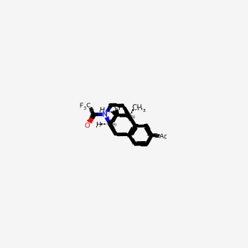 CC(=O)c1ccc2c(c1)[C@]1(C)CCN(C(=O)C(F)(F)F)[C@H](C2)C1(C)C